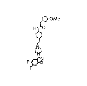 CO[C@H]1CC[C@H](CC(=O)N[C@H]2CC[C@H](CCN3CCN(c4noc5cc(F)c(F)cc45)CC3)CC2)C1